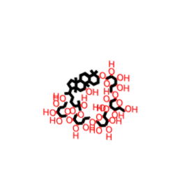 CC(CCC(OC1OC(COC2OC(CO)C(O)C(O)C2O)C(O)C(O)C1OC1OC(CO)C(O)C(O)C1O)C(C)(C)O)C1CCC2(C)C3CC=C4C(CCC(OC5OC(COC6OC(CO)C(O)C(O)C6O)C(O)C(O)C5O)C4(C)C)C3(C)C(O)CC12C